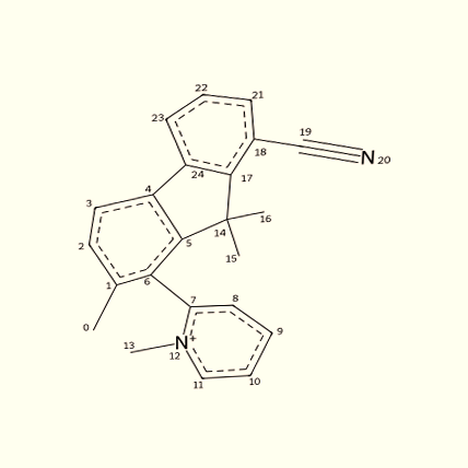 Cc1ccc2c(c1-c1cccc[n+]1C)C(C)(C)c1c(C#N)cccc1-2